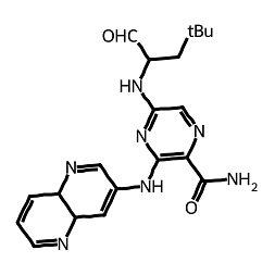 CC(C)(C)CC(C=O)Nc1cnc(C(N)=O)c(NC2=CC3N=CC=CC3N=C2)n1